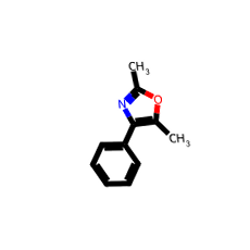 Cc1nc(-c2ccccc2)c(C)o1